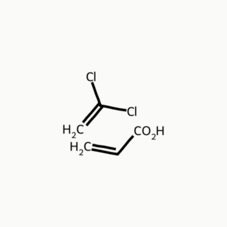 C=C(Cl)Cl.C=CC(=O)O